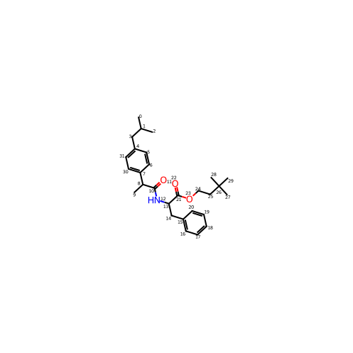 CC(C)Cc1ccc(C(C)C(=O)NC(Cc2ccccc2)C(=O)OCCC(C)(C)C)cc1